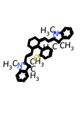 CN1C(=CC=C2CCCC(C=CC3=[N+](C)c4ccccc4C3(C)C)=C2C2=CC=CCC2=S)C(C)(C)c2ccccc21